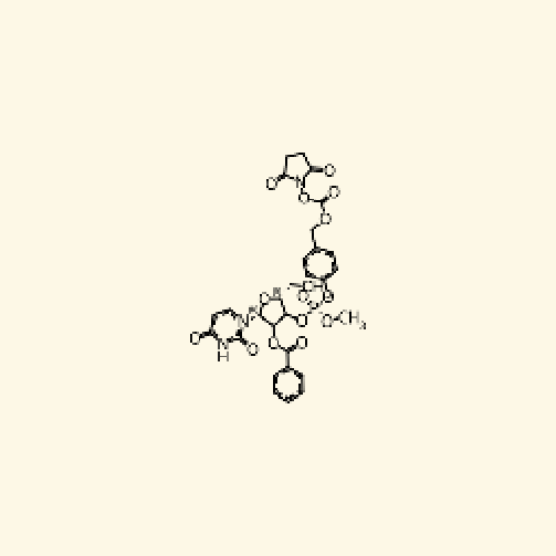 CC[C@H]1O[C@@H](n2ccc(=O)[nH]c2=O)C(OC(=O)c2ccccc2)C1OP(=O)(OC)Oc1ccc(COC(=O)ON2C(=O)CCC2=O)cc1